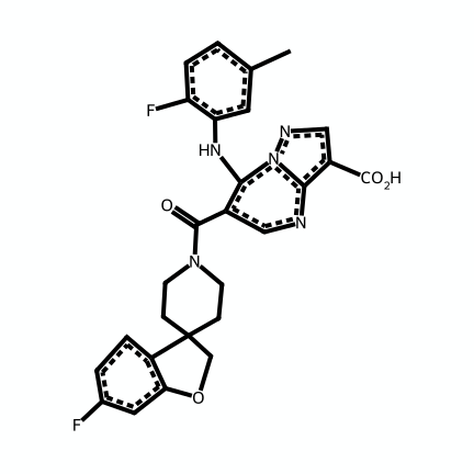 Cc1ccc(F)c(Nc2c(C(=O)N3CCC4(CC3)COc3cc(F)ccc34)cnc3c(C(=O)O)cnn23)c1